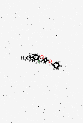 [2H]C1(Oc2ccc(C(C)(C)C)cc2Cl)CC(OCc2ccccc2)C1